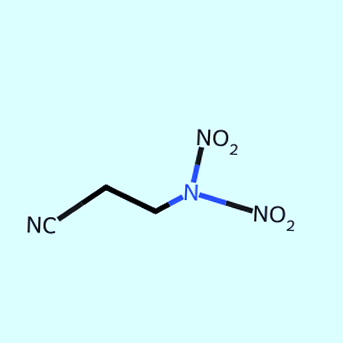 N#CCCN([N+](=O)[O-])[N+](=O)[O-]